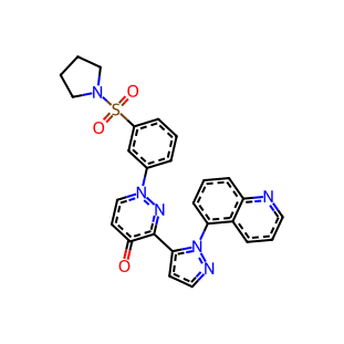 O=c1ccn(-c2cccc(S(=O)(=O)N3CCCC3)c2)nc1-c1ccnn1-c1cccc2ncccc12